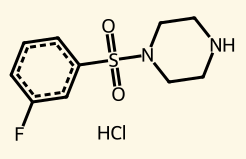 Cl.O=S(=O)(c1cccc(F)c1)N1CCNCC1